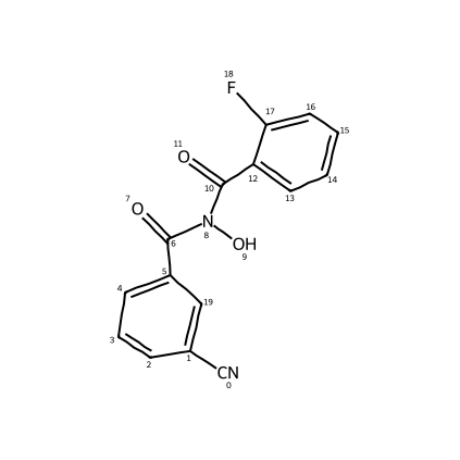 N#Cc1cccc(C(=O)N(O)C(=O)c2ccccc2F)c1